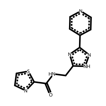 O=C(NCc1nc(-c2ccncc2)n[nH]1)c1nccs1